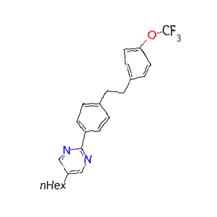 CCCCCCc1cnc(-c2ccc(CCc3ccc(OC(F)(F)F)cc3)cc2)nc1